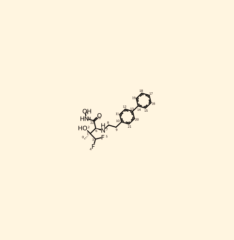 C[C@@](O)(C(F)F)[C@H](NCCc1ccc(-c2ccccc2)cc1)C(=O)NO